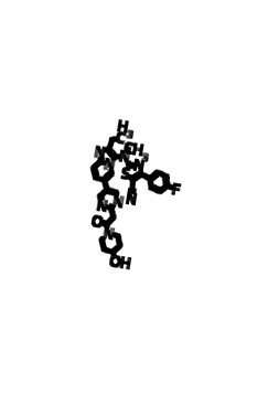 CCc1nc2ccc(-c3cnc(CC(=O)N4CCC(O)CC4)nc3)cn2c1N(C)c1nc(-c2ccc(F)cc2)c(C#N)s1